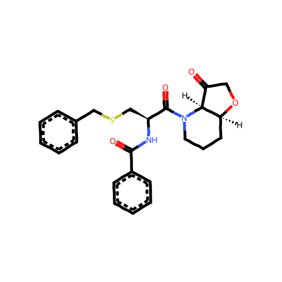 O=C(N[C@@H](CSCc1ccccc1)C(=O)N1CCC[C@@H]2OCC(=O)[C@@H]21)c1ccccc1